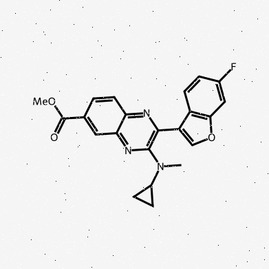 COC(=O)c1ccc2nc(-c3coc4cc(F)ccc34)c(N(C)C3CC3)nc2c1